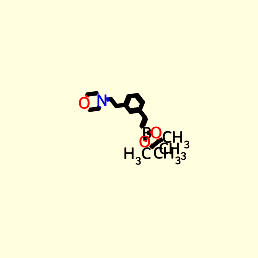 CC1(C)OB(C=Cc2cccc(CCN3CCOCC3)c2)OC1(C)C